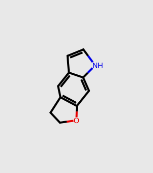 c1cc2cc3c(cc2[nH]1)OCC3